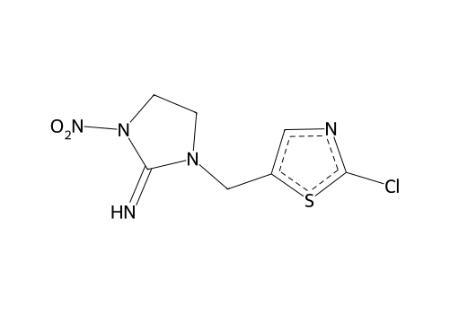 N=C1N(Cc2cnc(Cl)s2)CCN1[N+](=O)[O-]